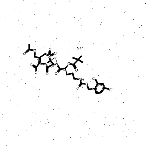 CC(=O)OCC1=C(C(=O)[O-])N2C(=O)[C@H](NC(=O)[C@H](CCCNC(=O)OCc3ccc(Cl)cc3Cl)OC(=O)C(C)(C)C)[C@@H]2S(=O)(=O)C1.[Na+]